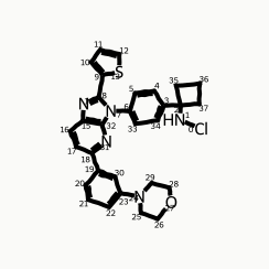 ClNC1(c2ccc(-n3c(-c4cccs4)nc4ccc(-c5cccc(N6CCOCC6)c5)nc43)cc2)CCC1